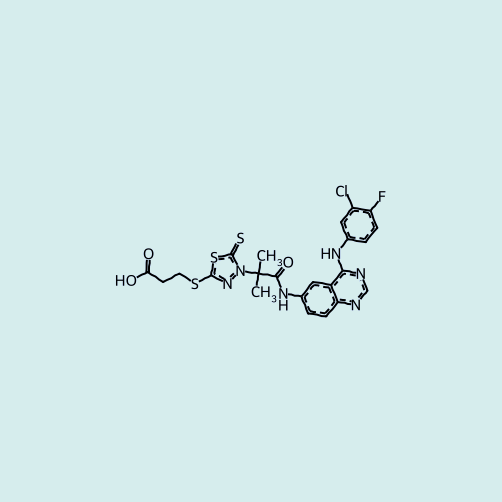 CC(C)(C(=O)Nc1ccc2ncnc(Nc3ccc(F)c(Cl)c3)c2c1)n1nc(SCCC(=O)O)sc1=S